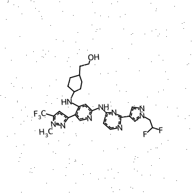 Cn1nc(-c2cnc(Nc3ccnc(-c4cnn(CC(F)F)c4)n3)cc2NC2CCC(CCO)CC2)cc1C(F)(F)F